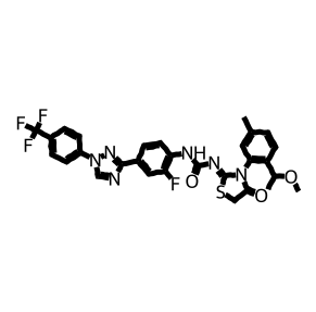 COC(C)c1ccc(C)cc1N1C(=O)CS/C1=N\C(=O)Nc1ccc(-c2ncn(-c3ccc(C(F)(F)F)cc3)n2)cc1F